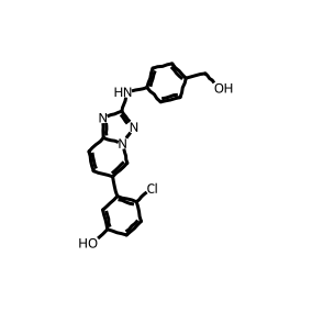 OCc1ccc(Nc2nc3ccc(-c4cc(O)ccc4Cl)cn3n2)cc1